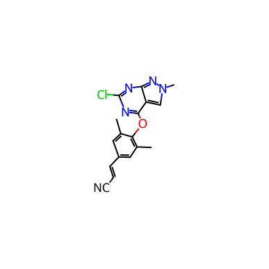 Cc1cc(/C=C/C#N)cc(C)c1Oc1nc(Cl)nc2nn(C)cc12